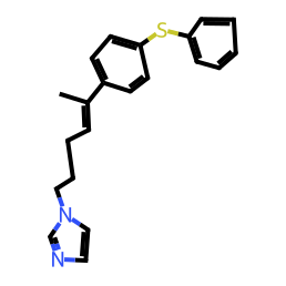 CC(=CCCCn1ccnc1)c1ccc(Sc2ccccc2)cc1